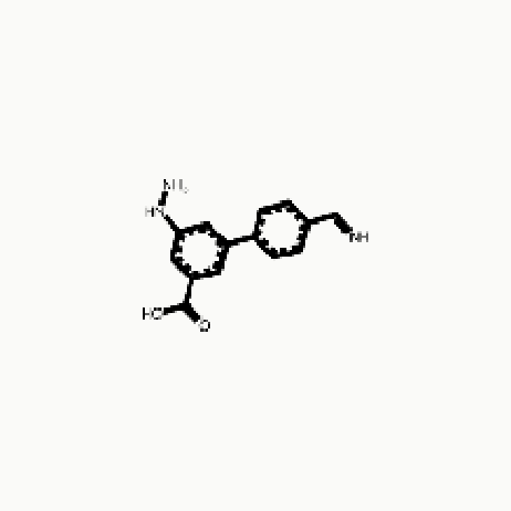 N=Cc1ccc(-c2cc(NN)cc(C(=O)O)c2)cc1